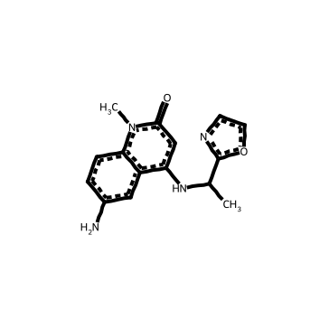 CC(Nc1cc(=O)n(C)c2ccc(N)cc12)c1ncco1